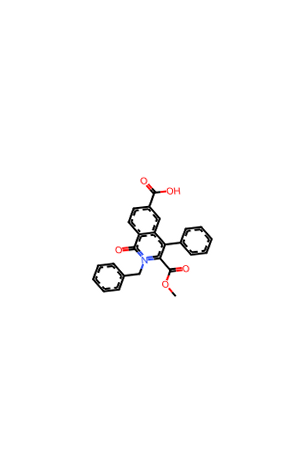 COC(=O)c1c(-c2ccccc2)c2cc(C(=O)O)ccc2c(=O)n1Cc1ccccc1